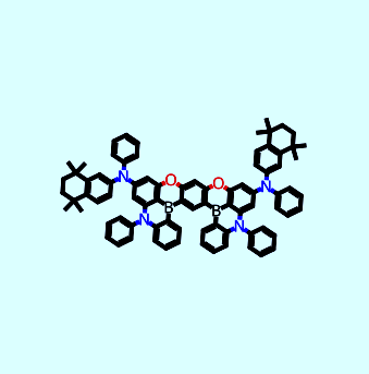 CC1(C)CCC(C)(C)c2cc(N(c3ccccc3)c3cc4c5c(c3)N(c3ccccc3)c3ccccc3B5c3cc5c(cc3O4)Oc3cc(N(c4ccccc4)c4ccc6c(c4)C(C)(C)CCC6(C)C)cc4c3B5c3ccccc3N4c3ccccc3)ccc21